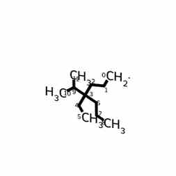 [CH2]CCC(CC)(CCC)C(C)C